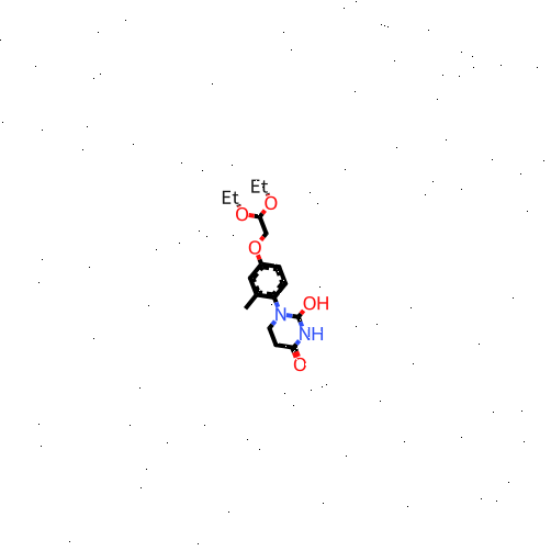 CCOC(COc1ccc(N2CCC(=O)NC2O)c(C)c1)OCC